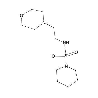 O=S(=O)(NCCN1CCOCC1)N1CC[CH]CC1